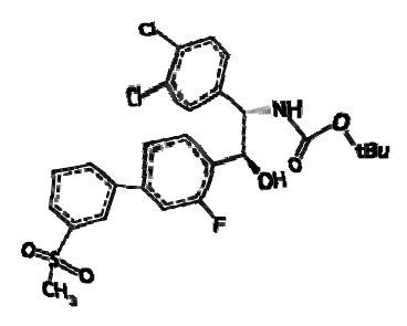 CC(C)(C)OC(=O)N[C@@H](c1ccc(Cl)c(Cl)c1)[C@@H](O)c1ccc(-c2cccc(S(C)(=O)=O)c2)cc1F